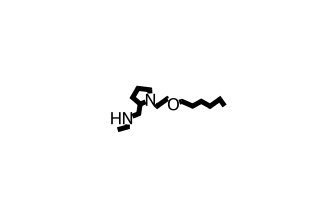 CCCCCCOCCN1CCCC1CNCC